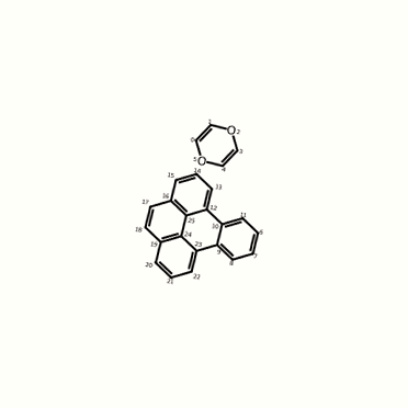 C1=COC=CO1.c1ccc2c(c1)c1cccc3ccc4cccc2c4c31